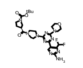 CC(C)(C)OC(=O)N1CC[C@H](C(=O)N2CCN(c3nc(-c4cnc(N)nc4C(F)F)nc(N4CCOCC4)n3)CC2)C1